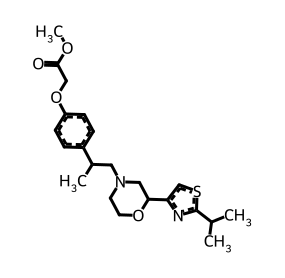 COC(=O)COc1ccc(C(C)CN2CCOC(c3csc(C(C)C)n3)C2)cc1